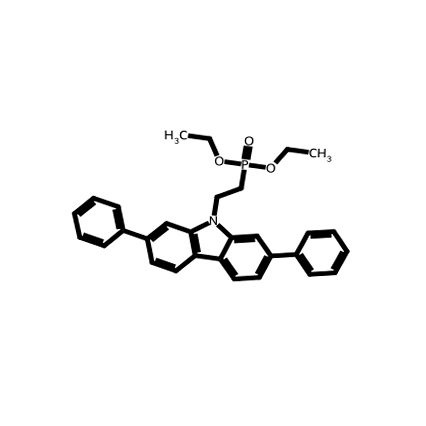 CCOP(=O)(CCn1c2cc(-c3ccccc3)ccc2c2ccc(-c3ccccc3)cc21)OCC